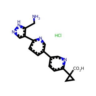 Cl.NCc1[nH]ncc1-c1ccc(-c2ccc(C3(C(=O)O)CC3)nc2)cn1